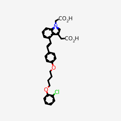 O=C(O)Cc1cn(CC(=O)O)c2cccc(C=Cc3ccc(OCCCCOc4ccccc4Cl)cc3)c12